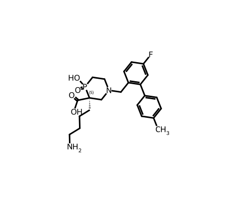 Cc1ccc(-c2cc(F)ccc2CN2CCP(=O)(O)[C@](CCCCN)(C(=O)O)C2)cc1